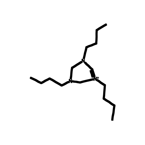 CCCCN1C=[N+](CCCC)CN(CCCC)C1